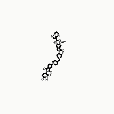 CC(C)Oc1cc2c(cc1NC(=O)c1cnn3cccnc13)CN([C@H]1CCN(CC3CCN(c4ccc5c(c4)C(=O)N(C4CCC(=O)NC4=O)C5=O)CC3)C[C@@H]1F)C2=O